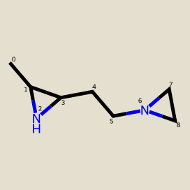 CC1NC1CCN1CC1